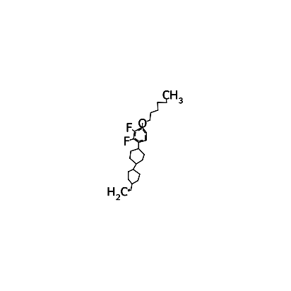 C=CC1CCC(C2CCC(c3ccc(OCCCCCC)c(F)c3F)CC2)CC1